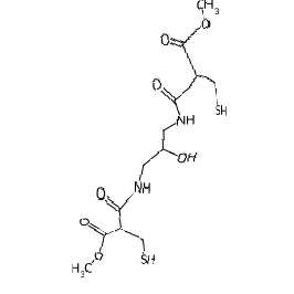 COC(=O)C(CS)C(=O)NCC(O)CNC(=O)C(CS)C(=O)OC